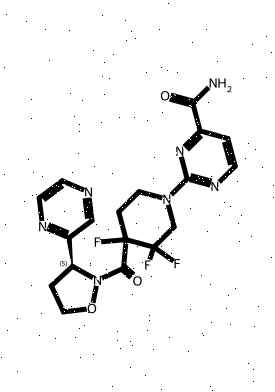 NC(=O)c1ccnc(N2CCC(F)(C(=O)N3OCC[C@H]3c3cnccn3)C(F)(F)C2)n1